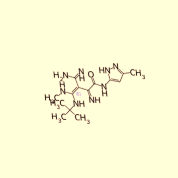 CN/C(NC(C)(C)C)=C(\C(=N)N)C(=N)C(=O)Nc1cc(C)n[nH]1